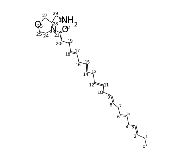 CCC=CCC=CCC=CCC=CCC=CCC=CCCC(=O)N1CCOCC1CN